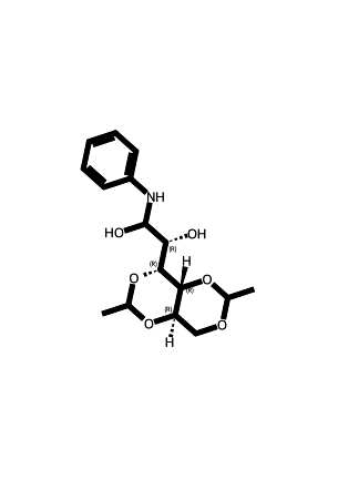 CC1OC[C@H]2OC(C)O[C@H]([C@@H](O)C(O)Nc3ccccc3)[C@@H]2O1